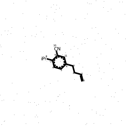 C=CCCc1ccc(C(C)C)c(C#N)c1